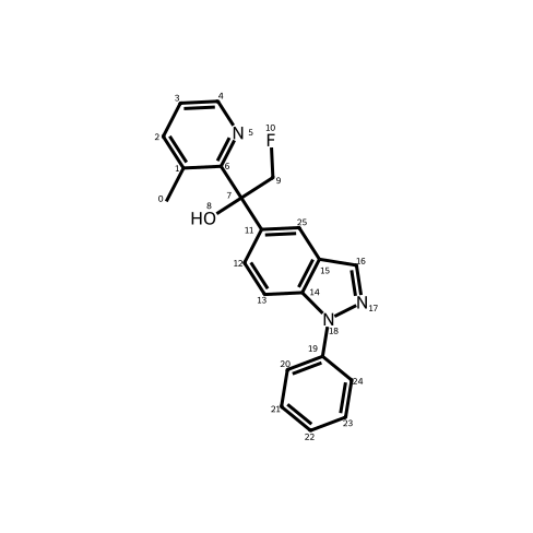 Cc1cccnc1C(O)(CF)c1ccc2c(cnn2-c2ccccc2)c1